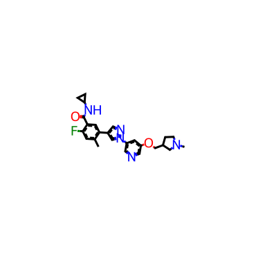 Cc1cc(F)c(C(=O)NC2CC2)cc1-c1cnn(-c2cncc(OCC3CCN(C)C3)c2)c1